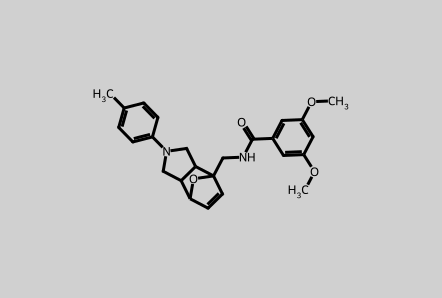 COc1cc(OC)cc(C(=O)NCC23C=CC(O2)C2CN(c4ccc(C)cc4)CC23)c1